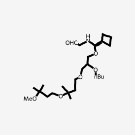 CCCCOC(COCCC(C)(C)OCCC(C)(C)OC)COC(NCC=O)=C1CCC1